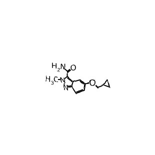 Cn1nc2ccc(OCC3CC3)cc2c1C(N)=O